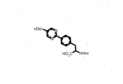 CCCCCCCCCCc1cnc(-c2ccc(CC(CCCCCC)C(=O)O)cc2)nc1